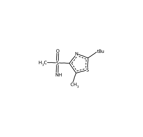 Cc1sc(C(C)(C)C)nc1S(C)(=N)=O